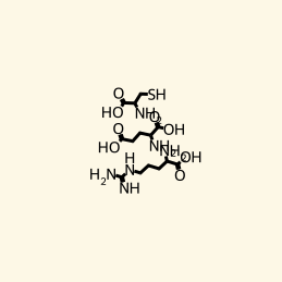 N=C(N)NCCCC(N)C(=O)O.NC(CCC(=O)O)C(=O)O.NC(CS)C(=O)O